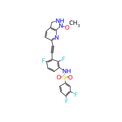 CON1NCc2ccc(C#Cc3c(F)ccc(NS(=O)(=O)c4ccc(F)c(F)c4)c3F)nc21